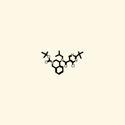 CC(C)CN(C(=O)c1cnc(C(C)(C)C)nc1Cl)C1CN(C(=O)OC(C)(C)C)Cc2ccccc21